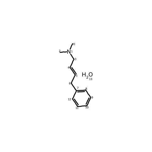 CN(C)CC=CCc1ccccc1.O